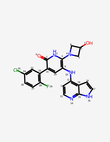 O=c1[nH]c(N2CC(O)C2)c(Nc2ccnc3[nH]ccc23)cc1-c1cc(Cl)ccc1F